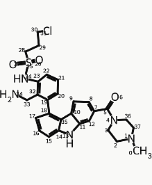 CN1CCN(C(=O)c2ccc3c(c2)[nH]c2cccc(-c4cccc(NS(=O)(=O)CCCCl)c4CN)c23)CC1